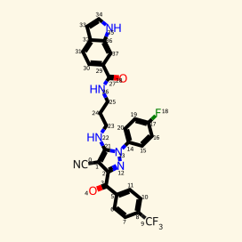 N#Cc1c(C(=O)c2ccc(C(F)(F)F)cc2)nn(-c2ccc(F)cc2)c1NCCCNC(=O)c1ccc2cc[nH]c2c1